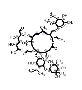 CC[C@H]1OC(=O)C[C@@H](O)[C@H](C)[C@@H](O[C@@H]2O[C@H](C)[C@@H](O[C@H]3C[C@@](C)(O)[C@@H](O)[C@H](C)O3)[C@H](N(C)C)[C@H]2O)[C@@H](CC=O)C[C@@H](C)C(=O)/C=C/C(C)=C/C1CO[C@@H]1O[C@H](C)[C@@H](O)[C@@H](OC)[C@H]1OC.O=C[C@H](O)[C@@H](O)[C@H](O)[C@H](O)C(=O)O